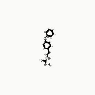 NC(=S)NN=Cc1ccc(Oc2ccccc2)cc1